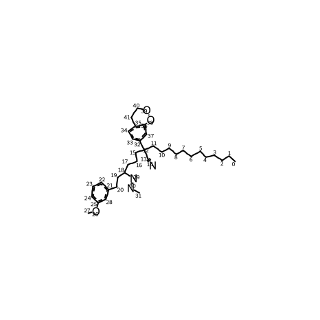 CCCCCCCCCCCCC(C#N)(CCCC(CCc1cccc(OC)c1)/N=N/C)c1ccc2c(c1)OOCC2